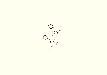 CCOC(=O)N1C=C(c2ccccc2)N(CC(=O)N[C@@H](Cc2ccccc2)C(=O)C(=O)O)C(=O)C1C(C)C